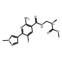 COC(=O)[C@H](C)CNC(=O)c1cc(F)c(-c2cnn(C)c2)nc1N